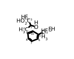 CC(O)C(=O)O.Cc1ccccc1.F.F.F